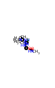 CNC(=O)COc1cccc(Nc2ncc(F)c(NC3CC(C)(C)N(C)C(C)(C)C3)n2)c1